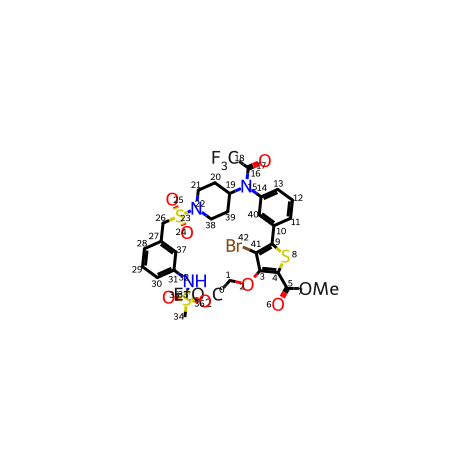 CCOC(=O)COc1c(C(=O)OC)sc(-c2cccc(N(C(=O)C(F)(F)F)C3CCN(S(=O)(=O)Cc4cccc(NS(C)(=O)=O)c4)CC3)c2)c1Br